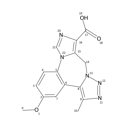 COc1ccc2c(c1)-c1c(C)nnn1Cc1c(C(=O)O)ncn1-2